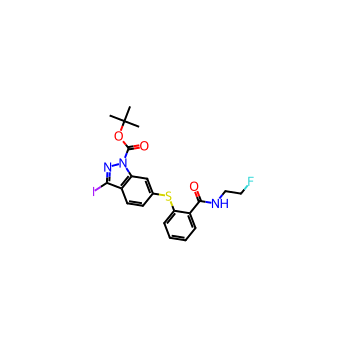 CC(C)(C)OC(=O)n1nc(I)c2ccc(Sc3ccccc3C(=O)NCCF)cc21